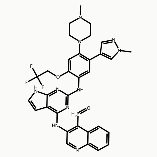 CN1CCN(c2cc(OCC(F)(F)F)c(Nc3nc(Nc4cnc5ccccc5c4[PH2]=O)c4cc[nH]c4n3)cc2-c2cnn(C)c2)CC1